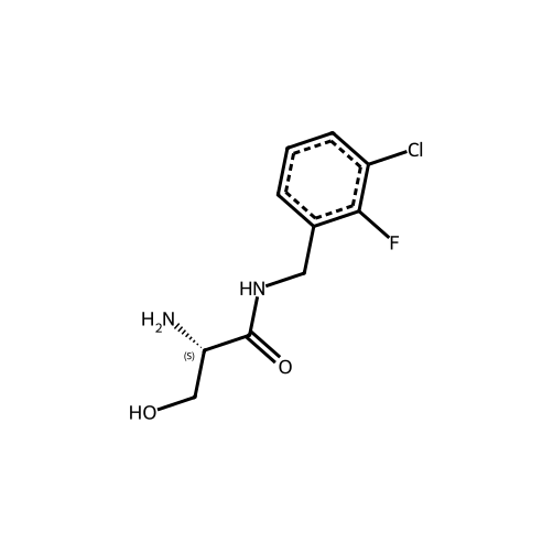 N[C@@H](CO)C(=O)NCc1cccc(Cl)c1F